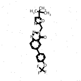 CC(C)(C)c1cnc(Cn2nnc3ccc(-c4ccc(OC(F)(F)F)cc4)cc3c2=O)o1